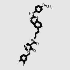 COc1ccc(Nc2ncc3cc(C=CCNC(=O)c4cncn(Cc5ccc(F)c(F)c5)c4=O)ccc3n2)cc1